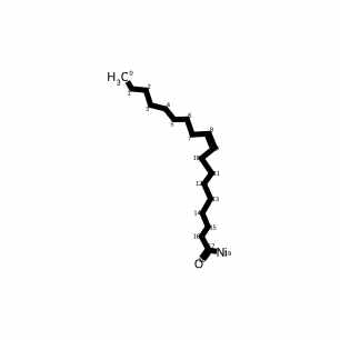 CCCCCCCC/C=C\CCCCCCC[C](=O)[Ni]